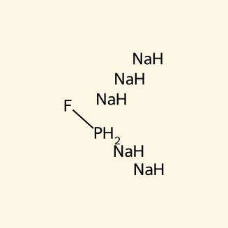 FP.[NaH].[NaH].[NaH].[NaH].[NaH]